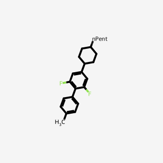 CCCCCC1CCC(c2cc(F)c(-c3ccc(C)cc3)c(F)c2)CC1